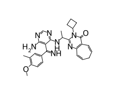 COc1ccc(C(=N)c2c(N)ncnc2NC(C)c2nc3c(c(=O)n2C2CCC2)C=CCC=C3)cc1C